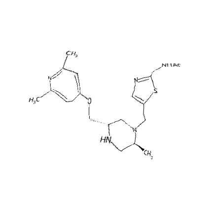 CC(=O)Nc1ncc(CN2C[C@@H](COc3cc(C)nc(C)c3)NC[C@@H]2C)s1